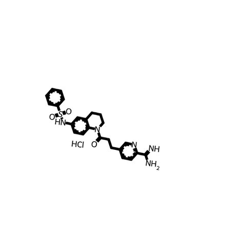 Cl.N=C(N)c1ccc(CCC(=O)N2CCCc3cc(NS(=O)(=O)c4ccccc4)ccc32)cn1